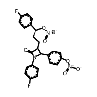 O=C1C(CC[C@H](O[N+](=O)[O-])c2ccc(F)cc2)C(c2ccc(O[N+](=O)[O-])cc2)N1c1ccc(F)cc1